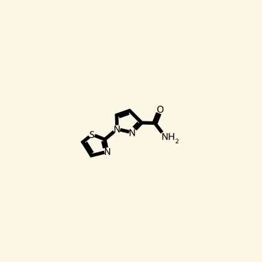 NC(=O)c1ccn(-c2nccs2)n1